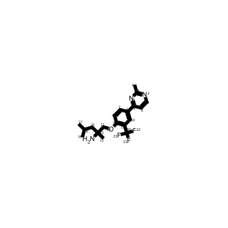 Cc1nccc(-c2ccc(OCC(C)(N)CC(C)C)c(C(F)(F)F)c2)n1